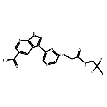 O=C(CNc1cncc(-c2c[nH]c3ncc(C(=O)O)cc23)n1)NCC(F)(F)F